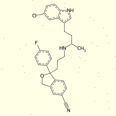 CC(CCc1c[nH]c2ccc(Cl)cc12)NCCCC1(c2ccc(F)cc2)OCc2cc(C#N)ccc21